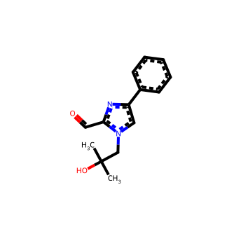 CC(C)(O)Cn1cc(-c2ccccc2)nc1C=O